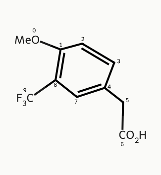 COc1ccc(CC(=O)O)cc1C(F)(F)F